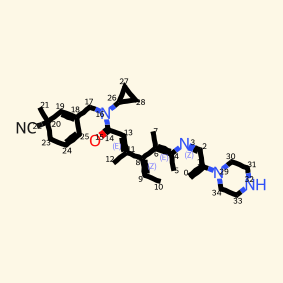 C=C(\C=N/C(C)=C(C)/C(=C\C)C(/C)=C/C(=O)N(CC1=CC(C)(C#N)CC=C1)C1CC1)N1CCNCC1